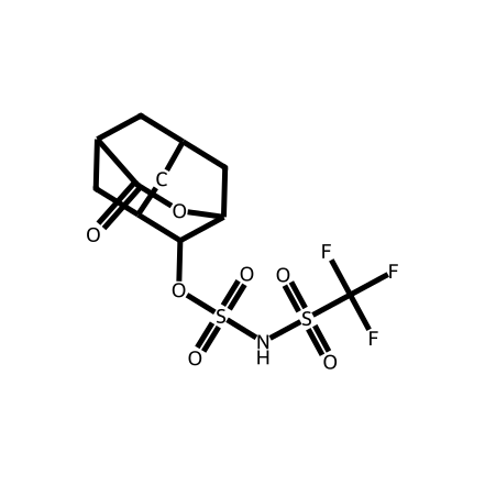 O=C1OC2CC3CC1CC(C3)C2OS(=O)(=O)NS(=O)(=O)C(F)(F)F